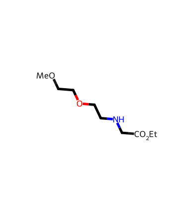 CCOC(=O)CNCCOCCOC